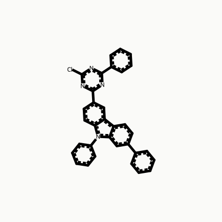 Clc1nc(-c2ccccc2)nc(-c2ccc3c(c2)c2ccc(-c4ccccc4)cc2n3-c2ccccc2)n1